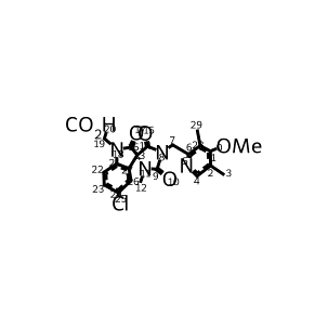 COc1c(C)cnc(CN2C(=O)N(C)[C@@]3(C2=O)C(=O)N(CC(=O)O)c2ccc(Cl)cc23)c1C